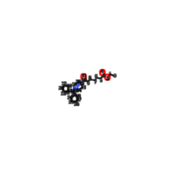 CCOC(=O)CCCCCC(=O)N1CCN(C(c2ccccc2)c2ccccc2)CC1